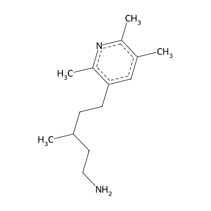 Cc1cc(CCC(C)CCN)c(C)nc1C